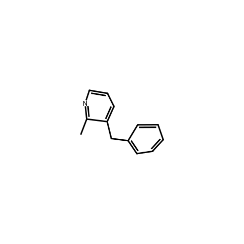 Cc1ncccc1Cc1ccccc1